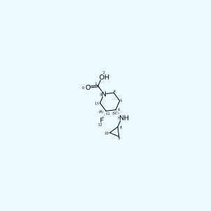 O=C(O)N1CC[C@H](NC2CC2)[C@H](F)C1